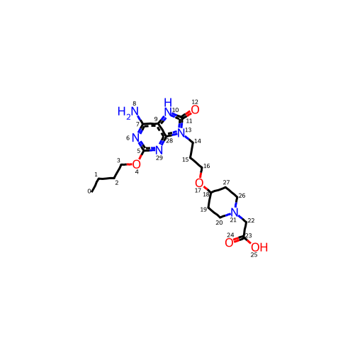 CCCCOc1nc(N)c2[nH]c(=O)n(CCCOC3CCN(CC(=O)O)CC3)c2n1